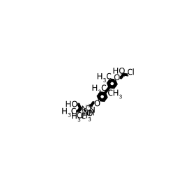 CNN(C[C@H](COc1ccc(C(C)(C)c2ccc(OC[C@@H](O)CCl)c(C)c2)cc1)N=O)C(CO)=C(C)C